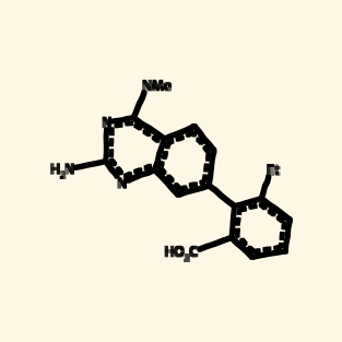 CCc1cccc(C(=O)O)c1-c1ccc2c(NC)nc(N)nc2c1